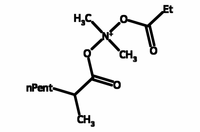 CCCCCC(C)C(=O)O[N+](C)(C)OC(=O)CC